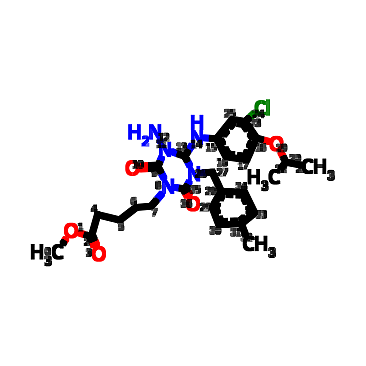 COC(=O)CCCCN1C(=O)N(N)C(Nc2ccc(OC(C)C)c(Cl)c2)N(Cc2ccc(C)cc2)C1=O